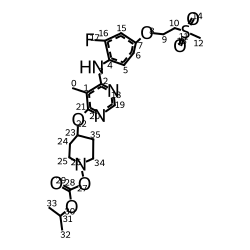 Cc1c(Nc2ccc(OCCS(C)(=O)=O)cc2F)ncnc1OC1CCN(OC(=O)OC(C)C)CC1